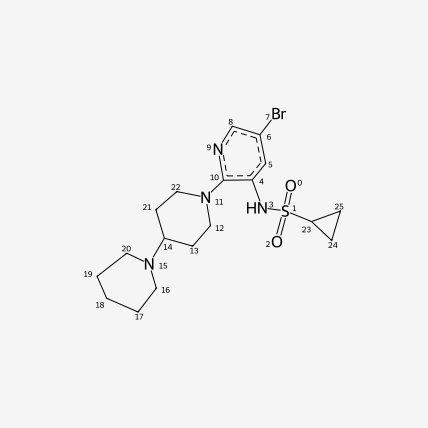 O=S(=O)(Nc1cc(Br)cnc1N1CCC(N2CCCCC2)CC1)C1CC1